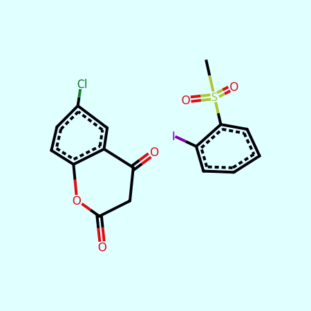 CS(=O)(=O)c1ccccc1I.O=C1CC(=O)c2cc(Cl)ccc2O1